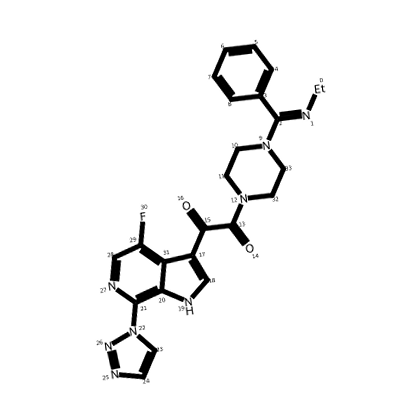 CC/N=C(\c1ccccc1)N1CCN(C(=O)C(=O)c2c[nH]c3c(-n4ccnn4)ncc(F)c23)CC1